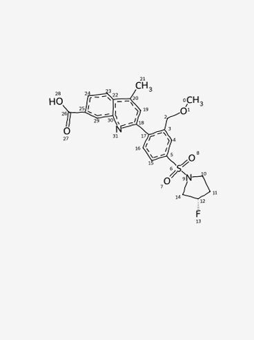 COCc1cc(S(=O)(=O)N2CC[C@H](F)C2)ccc1-c1cc(C)c2ccc(C(=O)O)cc2n1